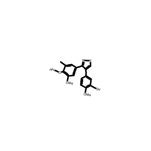 CCCOc1c(C)cc(-c2nscc2-c2ccc(OC)c(S)c2)cc1OC